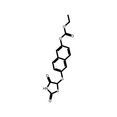 CCOC(=O)Oc1ccc2cc(SC3SC(=O)NC3=O)ccc2c1